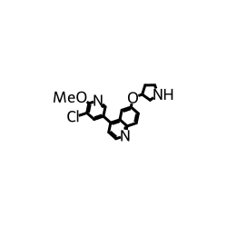 COc1ncc(-c2ccnc3ccc(OC4CCNC4)cc23)cc1Cl